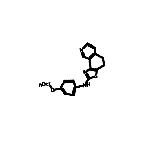 CCCCCCCCOc1ccc(Nc2nc3c(s2)CCc2ccncc2-3)cc1